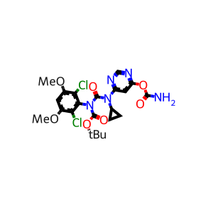 COc1cc(OC)c(Cl)c(N(C(=O)OC(C)(C)C)C(=O)N(c2cc(OC(N)=O)ncn2)C2CC2)c1Cl